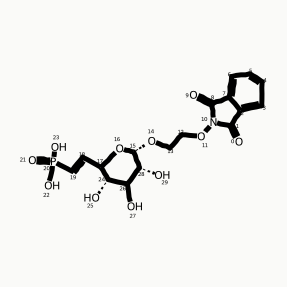 O=C1c2ccccc2C(=O)N1OCCO[C@H]1OC(/C=C/P(=O)(O)O)[C@@H](O)C(O)[C@H]1O